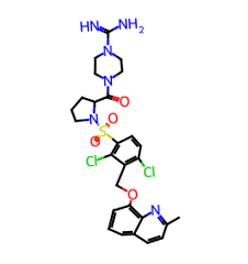 Cc1ccc2cccc(OCc3c(Cl)ccc(S(=O)(=O)N4CCCC4C(=O)N4CCN(C(=N)N)CC4)c3Cl)c2n1